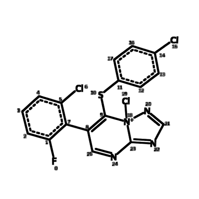 Fc1cccc(Cl)c1C1=C(Sc2ccc(Cl)cc2)[N+]2(Cl)N=CN=C2N=C1